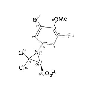 COc1c(F)cc([C@@H]2[C@@H](C(=O)O)C2(Cl)Cl)cc1Br